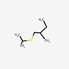 CCC(C)CSC(C)C